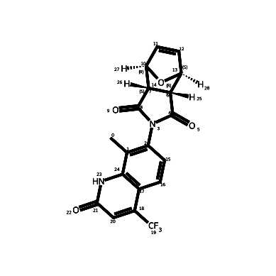 Cc1c(N2C(=O)[C@@H]3[C@H](C2=O)[C@H]2C=C[C@@H]3O2)ccc2c(C(F)(F)F)cc(=O)[nH]c12